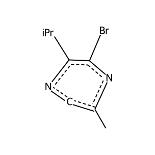 Cc1cnc(C(C)C)c(Br)n1